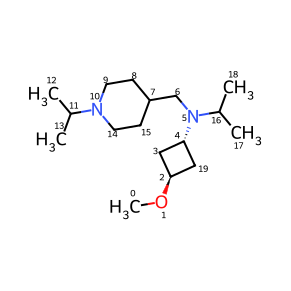 CO[C@H]1C[C@H](N(CC2CCN(C(C)C)CC2)C(C)C)C1